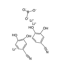 N#Cc1ccc(O)c(O)c1.N#Cc1ccc(O)c(O)c1.[Li+].[Li+].[Li+].[O-]B([O-])[O-]